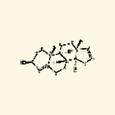 C[C@@]12C=CC[C@H]1[C@@H]1CCC3=C[C@@H](O)CC[C@]3(C)[C@H]1CC2